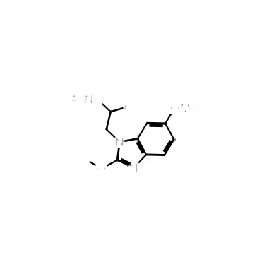 CCOc1nc2ccc(OC)cc2n1CC(C)NC(C)=O